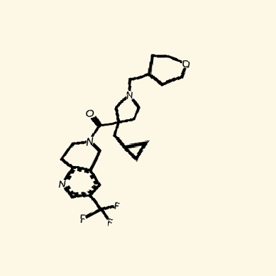 O=C(N1CCc2ncc(C(F)(F)F)cc2C1)C1(CC2CC2)CCN(CC2CCOCC2)C1